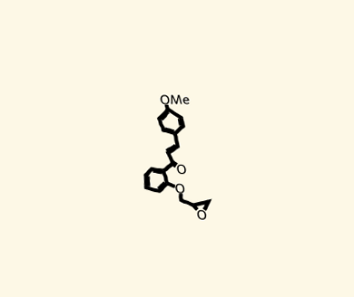 COc1ccc(/C=C/C(=O)c2ccccc2OCC2CO2)cc1